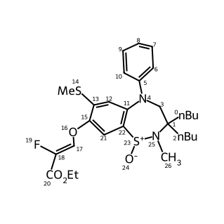 CCCCC1(CCCC)CN(c2ccccc2)c2cc(SC)c(O/C=C(\F)C(=O)OCC)cc2[S+]([O-])N1C